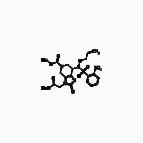 C=CCON(C1CN(C(=O)OC(C)(C)C)Cc2c1sc(=O)n2CC(=O)OC)S(=O)(=O)c1ccccc1[N+](=O)[O-]